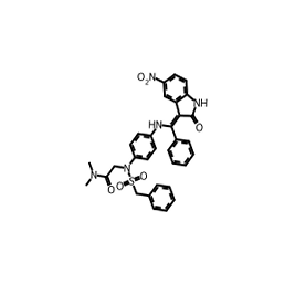 CN(C)C(=O)CN(c1ccc(NC(=C2C(=O)Nc3ccc([N+](=O)[O-])cc32)c2ccccc2)cc1)S(=O)(=O)Cc1ccccc1